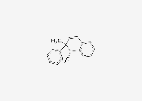 CC1c2ccccc2C=CC1(C)c1ccccc1